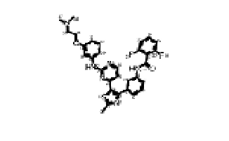 Cc1nc(-c2cccc(NC(=O)c3c(F)cccc3F)c2)c(-c2ccnc(Nc3cccc(OCCN(C)C)c3)n2)s1